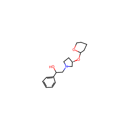 OC(CN1CC[C@@H](OC2CCCCO2)C1)c1ccccc1